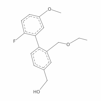 CCOCc1cc(CO)ccc1-c1cc(OC)ccc1F